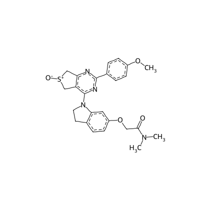 COc1ccc(-c2nc3c(c(N4CCc5ccc(OCC(=O)N(C)C)cc54)n2)C[S+]([O-])C3)cc1